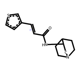 O=C(/C=C/c1ccsc1)NC1CN2CCC1CC2